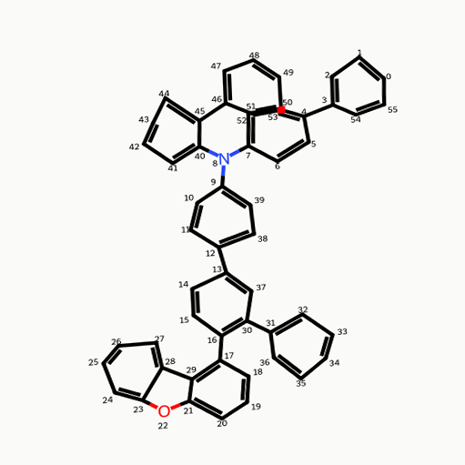 c1ccc(-c2ccc(N(c3ccc(-c4ccc(-c5cccc6oc7ccccc7c56)c(-c5ccccc5)c4)cc3)c3ccccc3-c3ccccc3)cc2)cc1